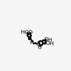 COc1cc2c(cc1O)C[C@@H]2CN(C)CCCN1CCc2cc(O)c(O)cc2CC1=O